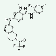 Cc1ccc(Nc2nn(C)c3nc(Nc4ccc5c(c4)CN(C(=O)C(F)(F)F)CC5)ncc23)c(F)c1